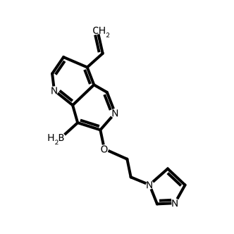 Bc1c(OCCn2ccnc2)ncc2c(C=C)ccnc12